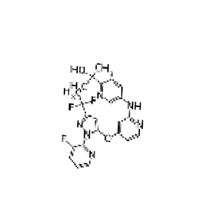 CC(C)(O)c1ccc(Nc2cc(Oc3cc(C(C)(F)F)nn3-c3ncccc3F)ccn2)cn1